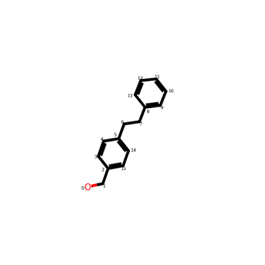 [O]Cc1ccc(CCc2ccccc2)cc1